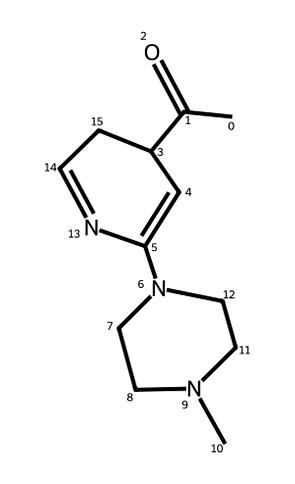 CC(=O)C1C=C(N2CCN(C)CC2)N=CC1